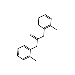 CC1=C(CC(=O)Cc2ccccc2C)CCC=C1